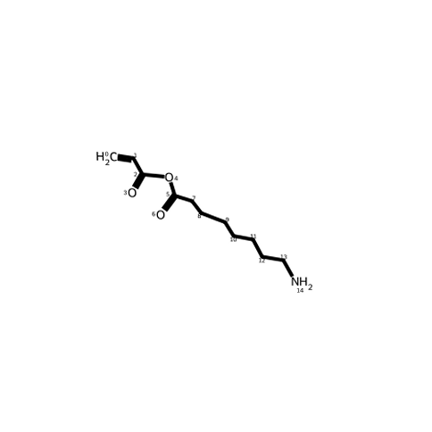 C=CC(=O)OC(=O)CCCCCCCN